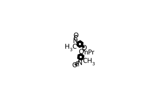 CCCC(Oc1ccc(N=C=O)c(C)c1)Oc1ccc(N=C=O)c(C)c1